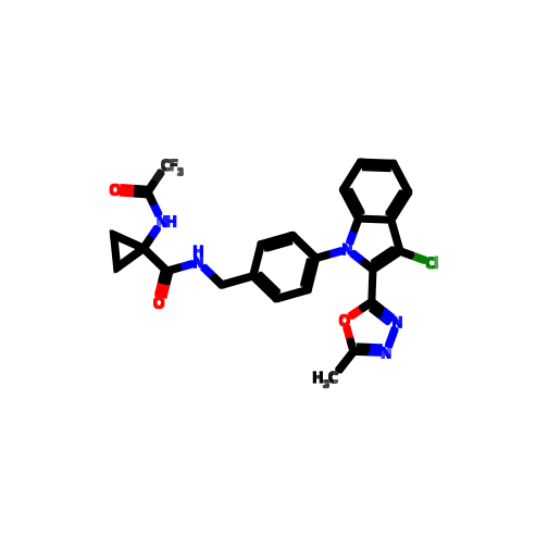 Cc1nnc(-c2c(Cl)c3ccccc3n2-c2ccc(CNC(=O)C3(NC(=O)C(F)(F)F)CC3)cc2)o1